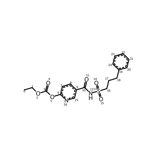 CCOC(=O)Oc1ccc(C(=O)NS(=O)(=O)CCCc2ccccc2)cn1